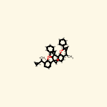 CC(c1cccc(C2(C(=O)C3(c4cccc(C(C)C5CC5)c4OCc4ccccc4)CC3)CC2)c1OCc1ccccc1)C1CC1